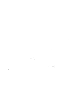 CCOC(O)NCC#N